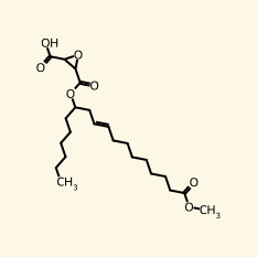 CCCCCCC(CC=CCCCCCCCC(=O)OC)OC(=O)C1OC1C(=O)O